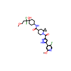 COCCC(F)(F)C1(O)CCC(NC(=O)C2CCN(C(=O)c3cc(-c4cc(OC)ncc4F)[nH]n3)C3(CC3)C2)CC1